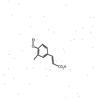 CCOc1ccc(C=CC(=O)O)cc1I